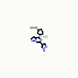 CN[C@H]1CCC[C@H](c2nc(-c3cnn(C)c3)cn3nccc23)C1.Cl